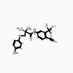 C[C@](O)(CSc1ccc(O)cc1)C(=O)Nc1ccc(C#N)c(C(F)(F)F)c1